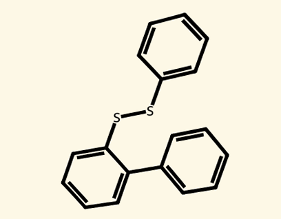 c1ccc(SSc2ccccc2-c2ccccc2)cc1